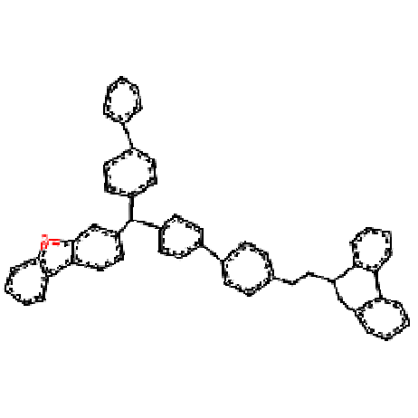 c1ccc(-c2ccc(C(c3ccc(-c4ccc(CCC5Cc6ccccc6-c6ccccc65)cc4)cc3)c3ccc4c(c3)oc3ccccc34)cc2)cc1